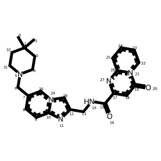 CC1(C)CCN(Cc2ccc3nc(CNC(=O)c4cc(=O)n5ccccc5n4)cn3c2)CC1